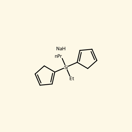 CCC[Si](CC)(C1=CC=CC1)C1=CC=CC1.[NaH]